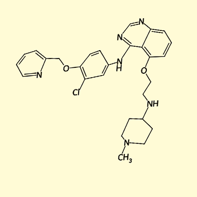 CN1CCC(NCCOc2cccc3ncnc(Nc4ccc(OCc5ccccn5)c(Cl)c4)c23)CC1